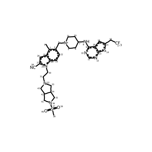 Cc1c(CN2CCC(Nc3ncnc4sc(CC(F)(F)F)cc34)CC2)ccc2c1cc(C#N)n2CCN1CC2CN(S(C)(=O)=O)CC2C1